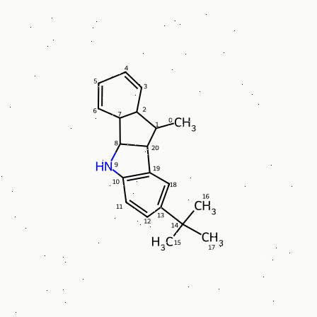 CC1C2C=CC=CC2C2Nc3ccc(C(C)(C)C)cc3C12